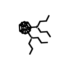 CCCP(CCC)[C]12[CH]3[CH]4[CH]5[C]1(P(CCC)CCC)[Cr]43521678[CH]2[CH]1[CH]6[CH]7[CH]28